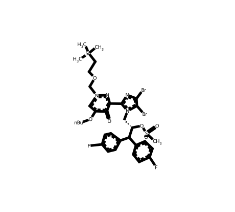 CCCCOc1cn(COCC[Si](C)(C)C)nc(-c2nc(Br)c(Br)n2C[C@H](OS(C)(=O)=O)C(c2ccc(F)cc2)c2ccc(F)cc2)c1=O